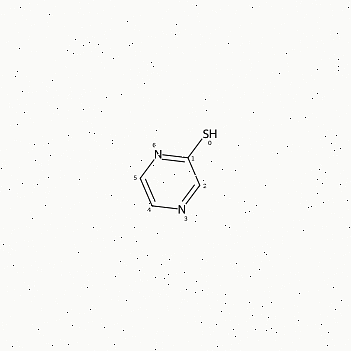 Sc1cnccn1